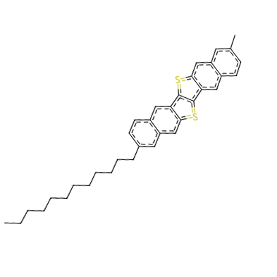 CCCCCCCCCCCCc1ccc2cc3c(cc2c1)sc1c2cc4ccc(C)cc4cc2sc31